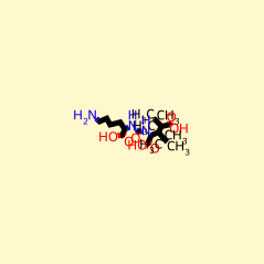 CC(C)(C)C(C(=O)O)C(C(NC(=O)NC(CCCCN)C(=O)O)C(=O)O)C(C)(C)C